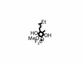 CC/C(C)=C/Cc1c(C)c(O)c(OC(F)(F)F)c(OC)c1O